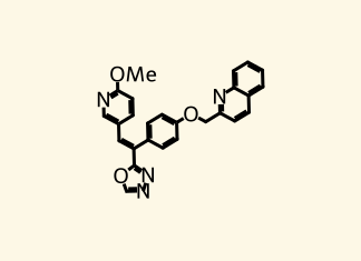 COc1ccc(/C=C(\c2ccc(OCc3ccc4ccccc4n3)cc2)c2nnco2)cn1